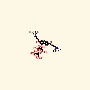 CCN(CC)CCCCC(=O)c1ccc2c(c1)Cc1cc(C(=O)CCCCN(CC)CC)ccc1-2.O=C(O)CC(O)(CC(=O)O)C(=O)O.O=C(O)CC(O)(CC(=O)O)C(=O)O